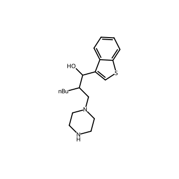 CCCCC(CN1CCNCC1)C(O)c1csc2ccccc12